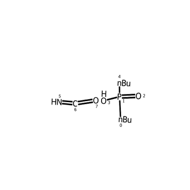 CCCCP(=O)(O)CCCC.N=C=O